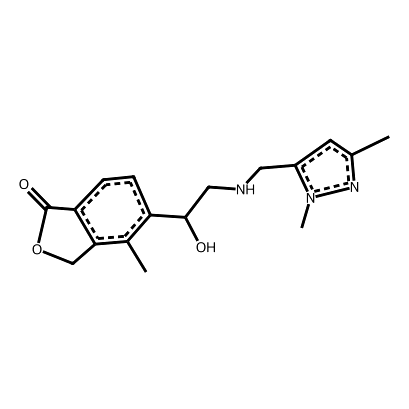 Cc1cc(CNCC(O)c2ccc3c(c2C)COC3=O)n(C)n1